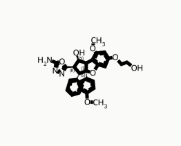 COc1ccc([C@@]23Oc4cc(OCCO)cc(OC)c4C2[C@H](O)[C@H](c2nnc(N)o2)[C@H]3c2ccccc2)cc1